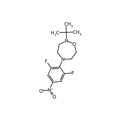 CC(C)(C)N1CCN(c2c(F)cc([N+](=O)[O-])cc2F)CCO1